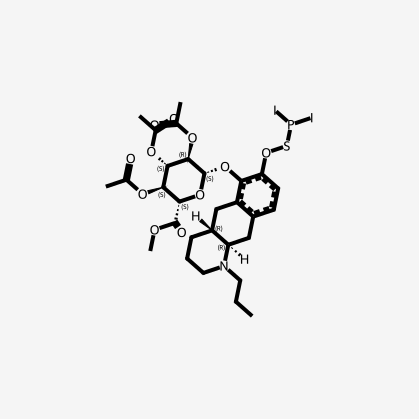 CCCN1CCC[C@@H]2Cc3c(ccc(OSP(I)I)c3O[C@@H]3O[C@H](C(=O)OC)[C@@H](OC(C)=O)[C@H](OC(C)=O)[C@H]3OC(C)=O)C[C@H]21